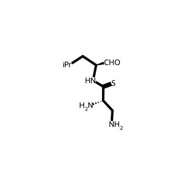 CC(C)C[C@@H](C=O)NC(=S)[C@@H](N)CN